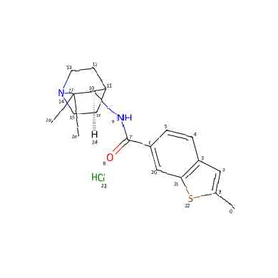 Cc1cc2ccc(C(=O)N[C@@H]3C4CCN(CC4)C3(C)C)cc2s1.Cl